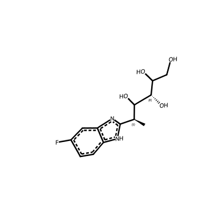 C[C@@H](c1nc2cc(F)ccc2[nH]1)C(O)[C@@H](O)C(O)CO